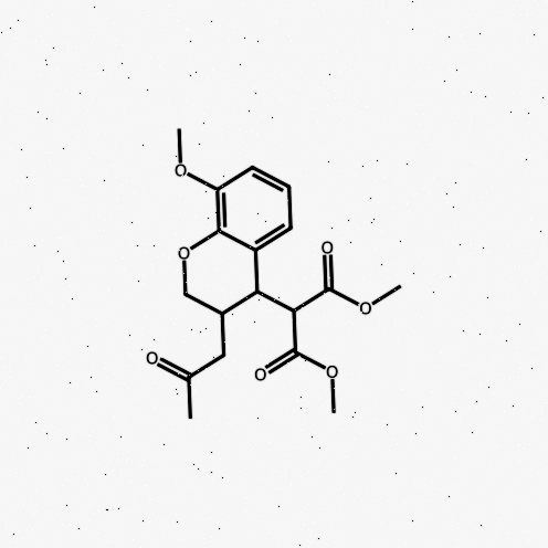 COC(=O)C(C(=O)OC)C1c2cccc(OC)c2OCC1CC(C)=O